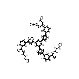 O=COC(CCCl)c1cccc(-c2noc(-c3cc(-c4nc(-c5cccc(C(=O)OCCCCl)c5)no4)cc(-c4nc(-c5cccc(C(=O)OCCCCl)c5)no4)c3)n2)c1